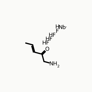 CC=CC(=O)CN.F.F.F.F.[Nb]